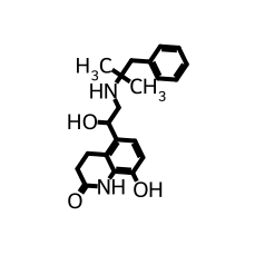 CC(C)(Cc1ccccc1)NCC(O)c1ccc(O)c2c1CCC(=O)N2